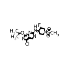 CC(C)Oc1nc(Cl)c2cnc(N[C@@H]3CCN(S(C)(=O)=O)C[C@H]3F)nn12